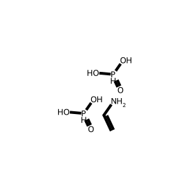 C=CN.O=[PH](O)O.O=[PH](O)O